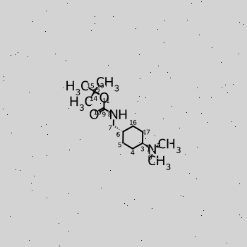 CN(C)[C@H]1CC[C@H](CNC(=O)OC(C)(C)C)CC1